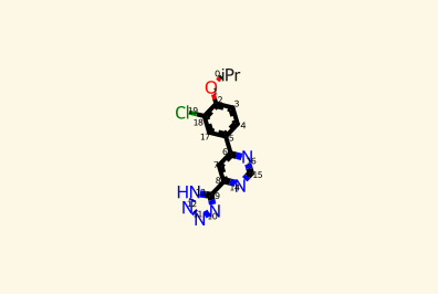 CC(C)Oc1ccc(-c2cc(-c3nnn[nH]3)ncn2)cc1Cl